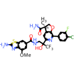 COc1cc(C(=O)NCC(O)(c2cc3c(c(-c4ccc(Cl)c(F)c4)n2)OC[C@]3(C)C(N)=O)C(F)(F)F)cc2sc(N)nc12